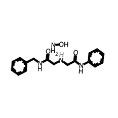 NO.O=C(CNCC(=O)Nc1ccccc1)NCc1ccccc1